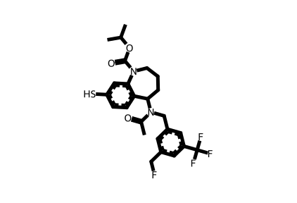 CC(=O)N(Cc1cc(CF)cc(C(F)(F)F)c1)C1CCCN(C(=O)OC(C)C)c2cc(S)ccc21